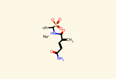 C=C(C=CC(N)=O)C(=O)NC(CCC)S(=O)(=O)[O-].[Na+]